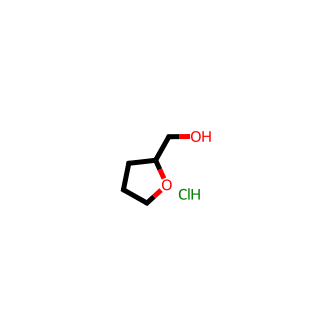 Cl.OCC1CCCO1